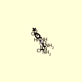 CC(C)(C)OC(=O)N1C2CCC1CC1(CN/C(=N\C(=O)c3nc(Cl)c(N)nc3N)N1)C2